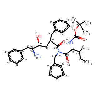 CC[C@H](C)[C@@H](NC(=O)OC(C)(C)C)C(=O)N(Cc1ccccc1)C(=O)C(Cc1ccccc1)C[C@H](O)[C@@H](N)Cc1ccccc1